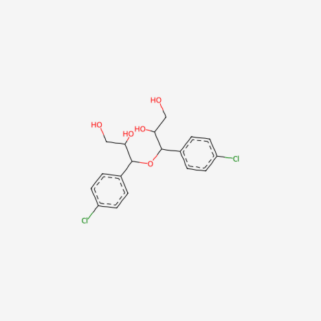 OCC(O)C(OC(c1ccc(Cl)cc1)C(O)CO)c1ccc(Cl)cc1